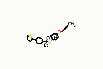 CC#CCOc1ccc(SC(CC)(C(=O)O)c2ccc(-c3cccs3)cc2)cc1